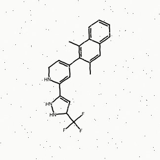 Cc1cc2ccccc2c(C)c1C1=CCNC(C2=CC(C(F)(F)F)NN2)=C1